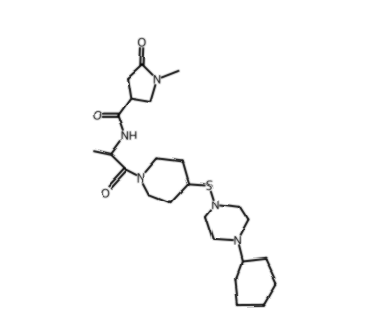 CC(NC(=O)C1CC(=O)N(C)C1)C(=O)N1CCC(SN2CCN(C3CCCCC3)CC2)CC1